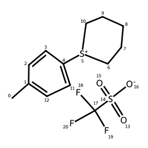 Cc1ccc([S+]2CCCCC2)cc1.O=S(=O)([O-])C(F)(F)F